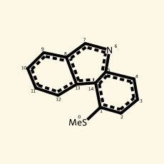 CSc1cccc2ncc3ccccc3c12